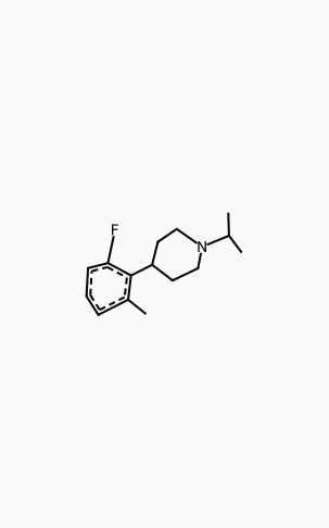 Cc1cccc(F)c1C1CCN(C(C)C)CC1